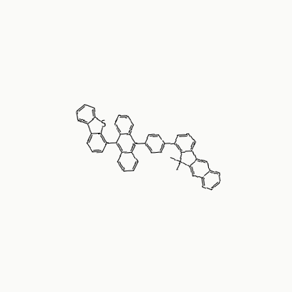 CC1(C)c2cc3ccccc3cc2-c2cccc(-c3ccc(-c4c5ccccc5c(-c5cccc6c5sc5ccccc56)c5ccccc45)cc3)c21